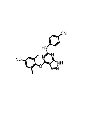 Cc1cc(C#N)cc(C)c1Oc1nc(Nc2ccc(C#N)cc2)nc2[nH]ncc12